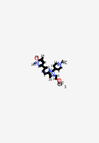 C=C(/C=C\c1nc(C2CCN(C(C)=O)CC2)n(CCOC(F)(F)F)c1C)c1cc(C)c(=O)n(C)c1